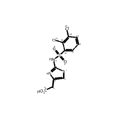 O=C(O)Cc1csc(NS(=O)(=O)c2cccc(Cl)c2Cl)n1